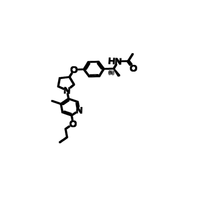 CCCOc1cc(C)c(N2CCC(Oc3ccc([C@H](C)NC(C)=O)cc3)C2)cn1